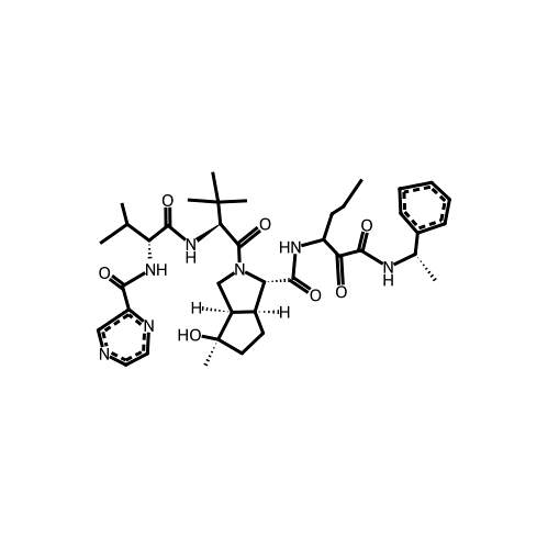 CCCC(NC(=O)[C@@H]1[C@H]2CC[C@@](C)(O)[C@H]2CN1C(=O)[C@@H](NC(=O)[C@H](NC(=O)c1cnccn1)C(C)C)C(C)(C)C)C(=O)C(=O)N[C@@H](C)c1ccccc1